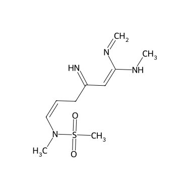 C=N/C(=C\C(=N)C/C=C\N(C)S(C)(=O)=O)NC